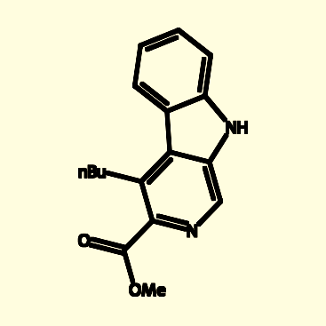 CCCCc1c(C(=O)OC)ncc2[nH]c3ccccc3c12